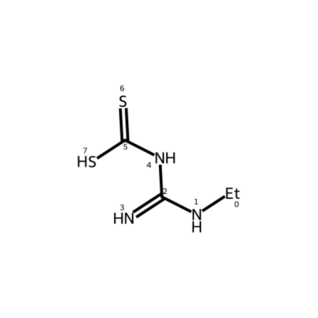 CCNC(=N)NC(=S)S